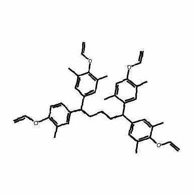 C=COc1ccc(C(CCCC(c2cc(C)c(OC=C)c(C)c2)c2cc(C)c(OC=C)cc2C)c2cc(C)c(OC=C)c(C)c2)cc1C